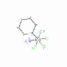 [NH2][Mo]([Cl])([Cl])([Cl])([Cl])[CH]1CCCCC1